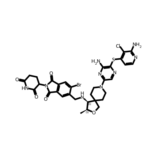 C[C@@H]1OCC2(CCN(c3cnc(Sc4ccnc(N)c4Cl)c(N)n3)CC2)[C@@H]1NCc1cc2c(cc1Br)C(=O)N(C1CCC(=O)NC1=O)C2=O